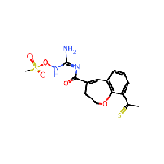 CC(=S)c1cccc2c1OCCC(C(=O)N=C(N)NOS(C)(=O)=O)=C2